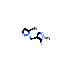 CCn1ncc(Cn2nccc2C(C)C)c1C(C)C